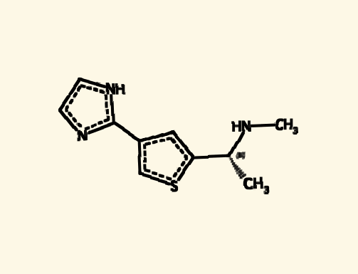 CN[C@H](C)c1cc(-c2ncc[nH]2)cs1